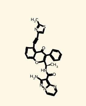 Cc1nc(C#Cc2cccc3oc([C@@H](C)NC(=O)c4c(N)nn5cccnc45)c(-c4ccccc4)c(=O)c23)cs1